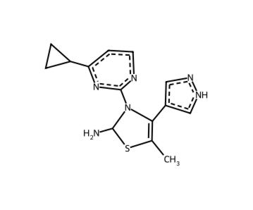 CC1=C(c2cn[nH]c2)N(c2nccc(C3CC3)n2)C(N)S1